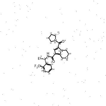 CC[C@@H](NC(=O)c1cc(C(=O)N2CCC[C@@H]2C)n2c1COCC2)c1cccnc1C(F)(F)F